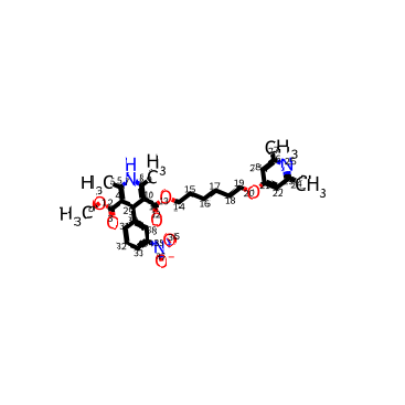 COC(=O)C1=C(C)NC(C)=C(C(=O)OCCCCCCOc2cc(C)nc(C)c2)C1c1cccc([N+](=O)[O-])c1